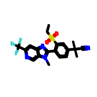 CCS(=O)(=O)c1cc(C(C)(C)C#N)ccc1-c1nc2cc(C(F)(F)F)ncc2n1C